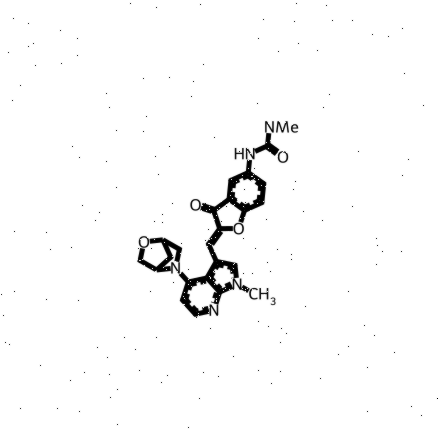 CNC(=O)Nc1ccc2c(c1)C(=O)/C(=C/c1cn(C)c3nccc(N4CC5CC4CO5)c13)O2